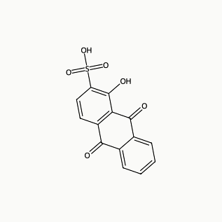 O=C1c2ccccc2C(=O)c2c1ccc(S(=O)(=O)O)c2O